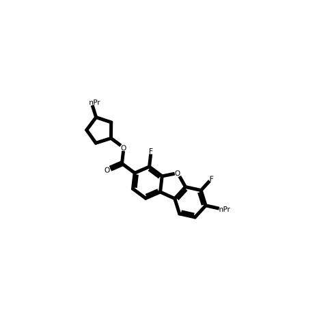 CCCc1ccc2c(oc3c(F)c(C(=O)OC4CCC(CCC)C4)ccc32)c1F